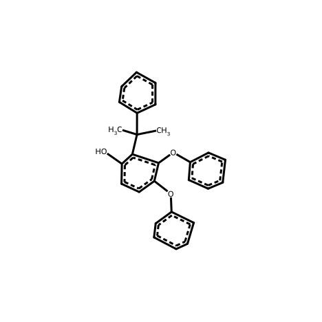 CC(C)(c1ccccc1)c1c(O)ccc(Oc2ccccc2)c1Oc1ccccc1